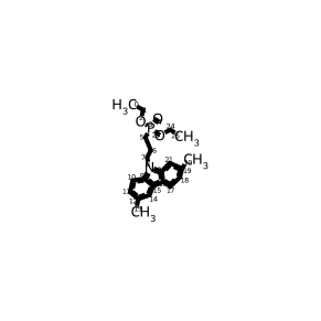 CCOP(=O)(CCCn1c2ccc(C)cc2c2ccc(C)cc21)OCC